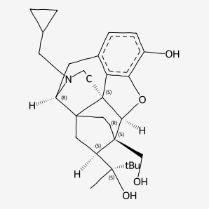 CC(C)(C)[C@@](C)(O)[C@H]1CC23CC[C@]1(CO)[C@@H]1Oc4c(O)ccc5c4[C@@]12CCN(CC1CC1)[C@@H]3C5